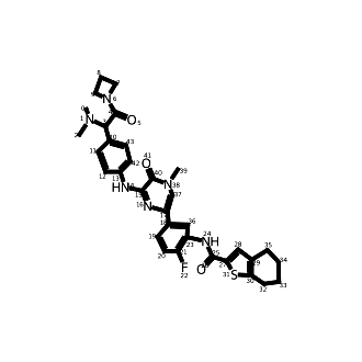 CN(C)C(C(=O)N1CCC1)c1ccc(Nc2nc(-c3ccc(F)c(NC(=O)c4cc5c(s4)CCCC5)c3)cn(C)c2=O)cc1